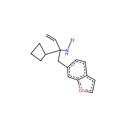 C=CC(Cc1ccc2ccoc2c1)(NCC)C1CCC1